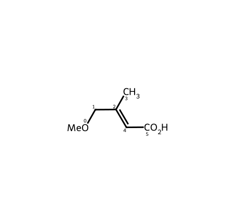 COCC(C)=CC(=O)O